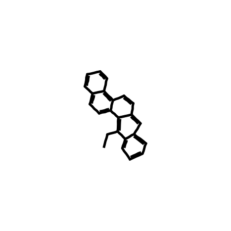 CCc1c2ccccc2cc2ccc3c4ccccc4ccc3c12